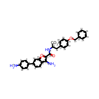 Nc1ccc(-c2ccc3c(N)c(C(=O)NC(Cc4ccc(OCc5ccccc5)cc4)C(=O)O)oc3c2)cc1